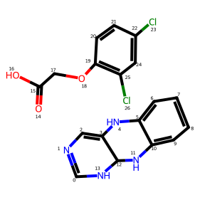 C1=NC=C2Nc3ccccc3NC2N1.O=C(O)COc1ccc(Cl)cc1Cl